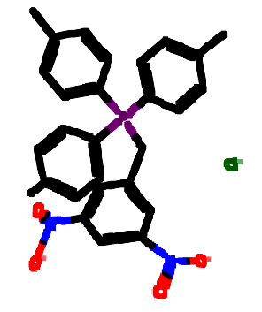 Cc1ccc([P+](Cc2cc([N+](=O)[O-])cc([N+](=O)[O-])c2)(c2ccc(C)cc2)c2ccc(C)cc2)cc1.[Cl-]